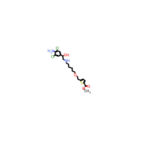 COC(=O)c1ccc(CCOCCCCCCNCC(O)c2cc(Cl)c(N)c(Cl)c2)s1